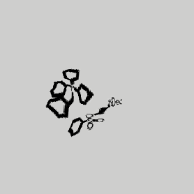 CCCCCCCCCCCCOS(=O)(=O)c1ccccc1.c1ccc(C[PH](c2ccccc2)(c2ccccc2)c2ccccc2)cc1